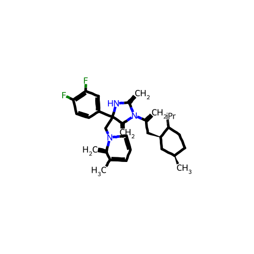 C=C1C(C)=CC=CN1CC1(c2ccc(F)c(F)c2)NC(=C)N(C(=C)C[C@@H]2C[C@H](C)CCC2C(C)C)C1=C